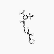 O=C(NCC1CCN(C(=O)CN2CCOCC2)CC1)c1cc(C(F)(F)F)cc(C(F)(F)F)c1